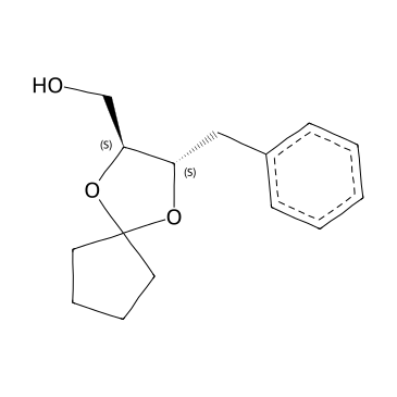 OC[C@@H]1OC2(CCCC2)O[C@H]1Cc1ccccc1